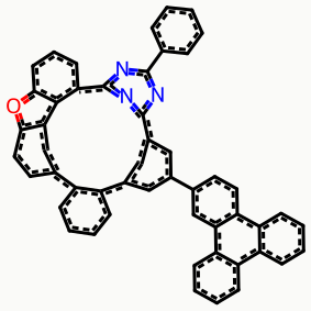 c1ccc(-c2nc3nc(n2)c2cccc4oc5ccc(cc5c42)c2ccccc2c2cc(-c4ccc5c6ccccc6c6ccccc6c5c4)cc3c2)cc1